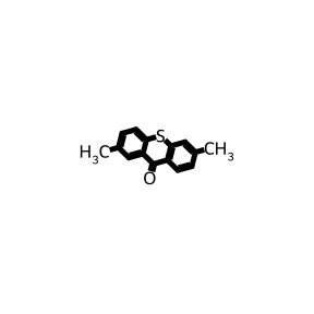 Cc1ccc2c(=O)c3cc(C)ccc3sc2c1